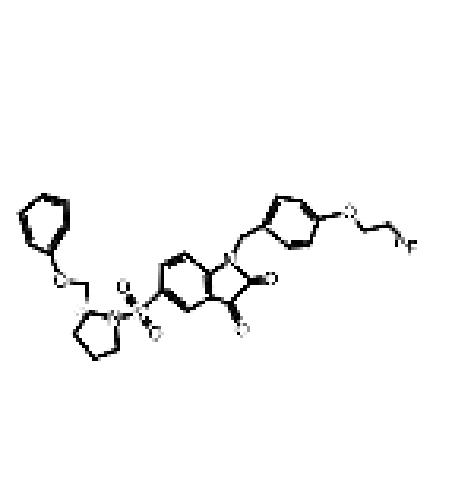 O=C1C(=O)N(Cc2ccc(OCC[18F])cc2)c2ccc(S(=O)(=O)N3CCC[C@H]3COc3ccccc3)cc21